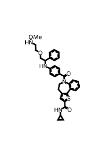 CONCCOCC(Nc1ccc(C(=O)N2CCc3cc(C(=O)NC4CC4)sc3-c3ccccc32)cc1)c1ccccc1